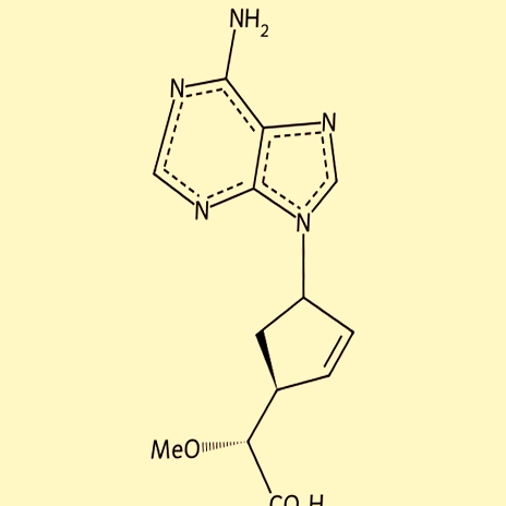 CO[C@@H](C(=O)O)[C@@H]1C=CC(n2cnc3c(N)ncnc32)C1